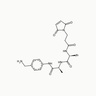 CC(C)[C@H](NC(=O)CCN1C(=O)C=CC1=O)C(=O)N[C@@H](C)C(=O)Nc1ccc(CN)cc1